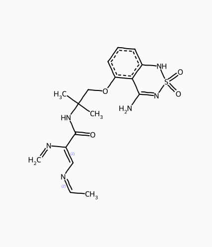 C=N/C(=C\N=C/C)C(=O)NC(C)(C)COc1cccc2c1C(N)=NS(=O)(=O)N2